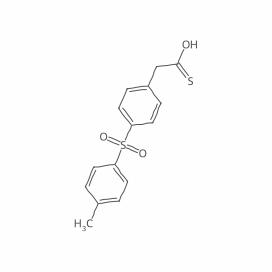 Cc1ccc(S(=O)(=O)c2ccc(CC(O)=S)cc2)cc1